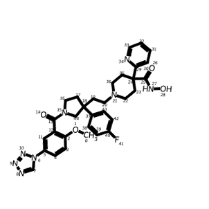 COc1ccc(-n2cnnn2)cc1C(=O)N1CCC(CCN2CCC(C(=O)NO)(c3ccccn3)CC2)(c2ccc(F)cc2)C1